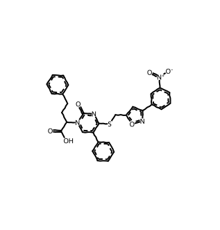 O=C(O)C(CCc1ccccc1)n1cc(-c2ccccc2)c(SCc2cc(-c3cccc([N+](=O)[O-])c3)no2)nc1=O